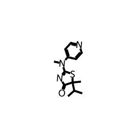 CC(C)C1(C)SC(N(C)c2ccncc2)=NC1=O